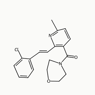 Cc1ccc(C(=O)N2CCOCC2)c(C=Cc2ccccc2Cl)n1